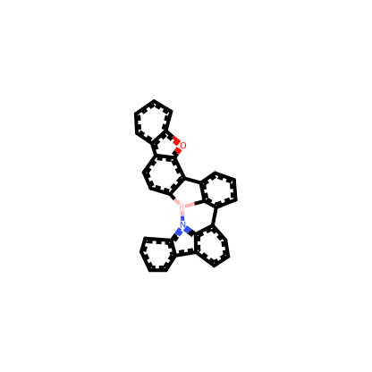 c1cc2c3c(c1)-c1cccc4c5ccccc5n(c14)B3c1ccc3c(oc4ccccc43)c1-2